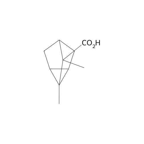 CC1(C(=O)O)C2CC3C(C2)C31C